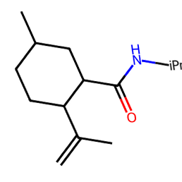 C=C(C)C1CCC(C)CC1C(=O)NC(C)C